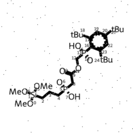 CO[Si](CCCP(=O)(O)CC(=O)OCP(=O)(O)c1c(C(C)(C)C)cc(C(C)(C)C)cc1C(C)(C)C)(OC)OC